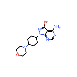 Nc1ncnc2c1c(Br)nn2[C@H]1CC[C@H](N2CCOCC2)CC1